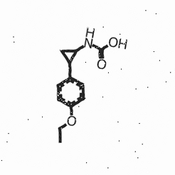 CCOc1ccc(C2CC2NC(=O)O)cc1